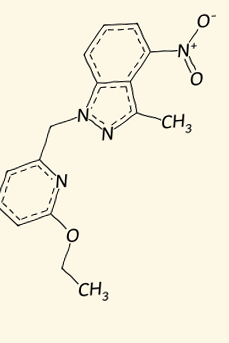 CCOc1cccc(Cn2nc(C)c3c([N+](=O)[O-])cccc32)n1